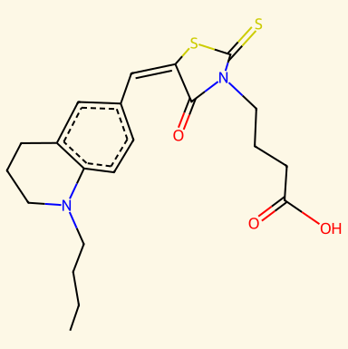 CCCCN1CCCc2cc(C=C3SC(=S)N(CCCC(=O)O)C3=O)ccc21